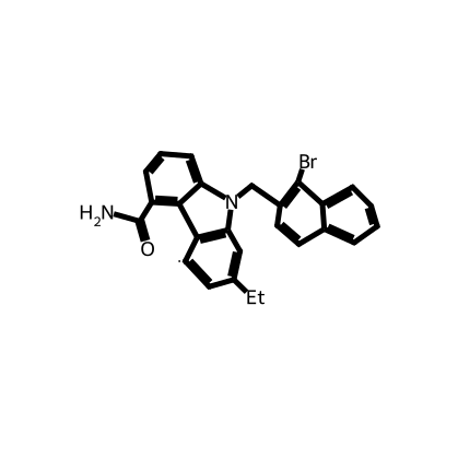 CCc1c[c]c2c3c(C(N)=O)cccc3n(Cc3ccc4ccccc4c3Br)c2c1